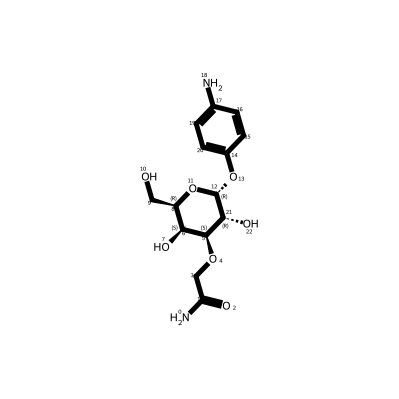 NC(=O)CO[C@H]1[C@@H](O)[C@@H](CO)O[C@H](Oc2ccc(N)cc2)[C@@H]1O